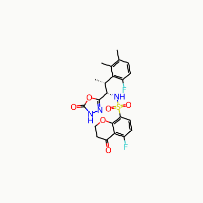 Cc1ccc(F)c([C@@H](C)[C@H](NS(=O)(=O)c2ccc(F)c3c2OCCC3=O)c2n[nH]c(=O)o2)c1C